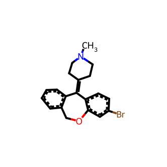 CN1CCC(=C2c3ccccc3COc3cc(Br)ccc32)CC1